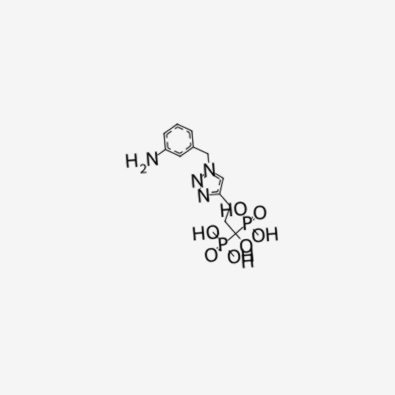 Nc1cccc(Cn2cc(CCC(O)(P(=O)(O)O)P(=O)(O)O)nn2)c1